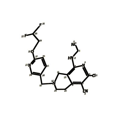 N#CCNc1nc(Cl)c(C#N)c2c1CN(Cc1ccc(OCC(F)F)nc1)CC2